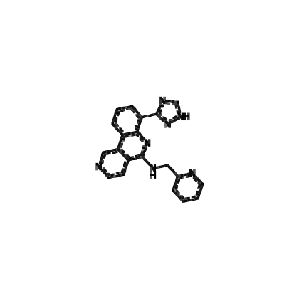 c1ccc(CNc2nc3c(-c4nc[nH]n4)cccc3c3cnccc23)nc1